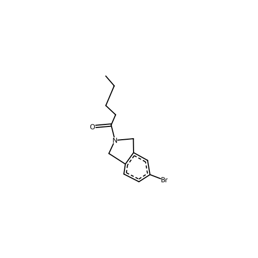 CCCCC(=O)N1Cc2ccc(Br)cc2C1